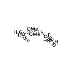 COc1cc(-c2cn(C)c(=O)c3cnc(N4CCC4)cc23)cc(OC)c1C1CCN(CC2CCC3(CC2)CN(c2ccc(C(=O)NC4CCC(=O)NC4=O)c(F)c2)C3)CC1